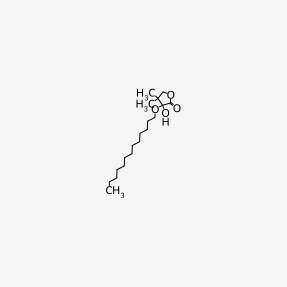 CCCCCCCCCCCCCOC1(O)C(=O)OCC1(C)C